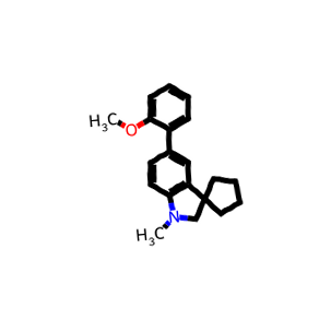 COc1ccccc1-c1ccc2c(c1)C1(CCCC1)CN2C